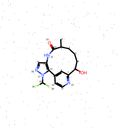 CC1CCCC(O)c2cc(ccn2)-c2c(cnn2C(F)F)NC1=O